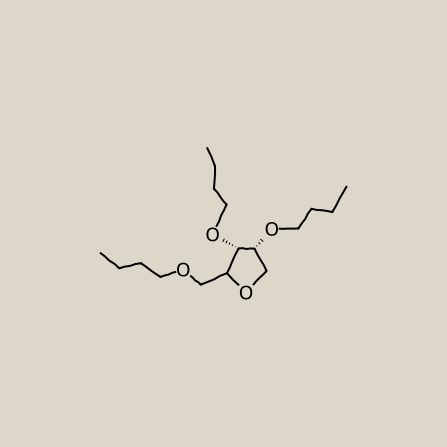 CCCCOCC1OC[C@@H](OCCCC)[C@H]1OCCCC